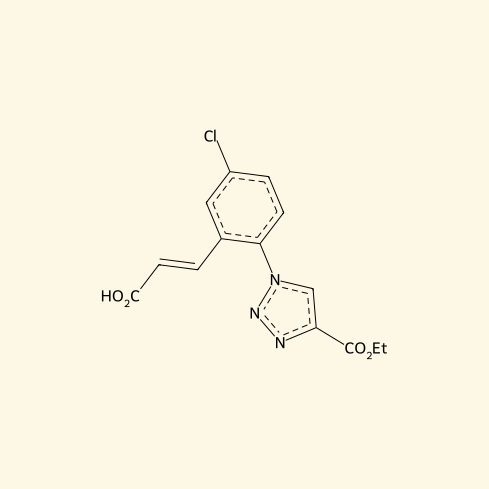 CCOC(=O)c1cn(-c2ccc(Cl)cc2/C=C/C(=O)O)nn1